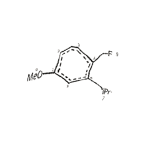 COc1ccc(F)c([C](C)C)c1